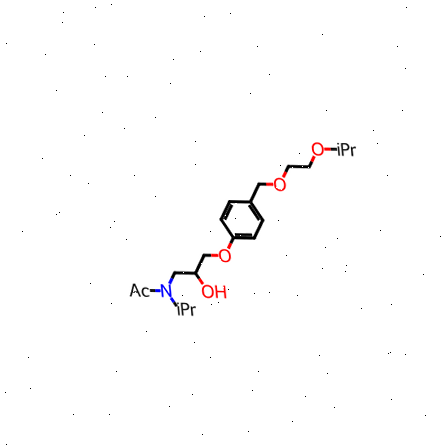 CC(=O)N(CC(O)COc1ccc(COCCOC(C)C)cc1)C(C)C